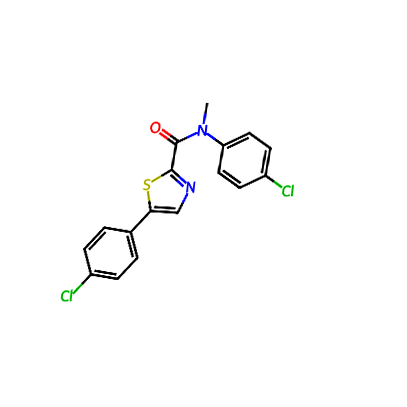 CN(C(=O)c1ncc(-c2ccc(Cl)cc2)s1)c1ccc(Cl)cc1